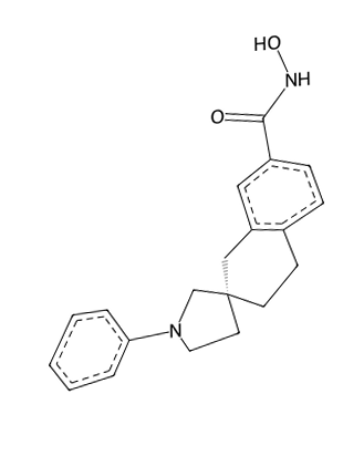 O=C(NO)c1ccc2c(c1)C[C@]1(CC2)CCN(c2ccccc2)C1